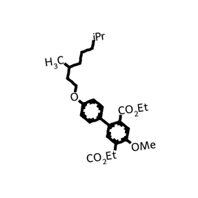 CCOC(=O)c1cc(-c2ccc(OCCC(C)CCCC(C)C)cc2)c(C(=O)OCC)cc1OC